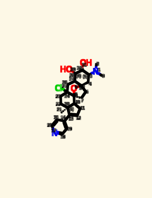 CN(C)[C@H]1C[C@@]23CC[C@]4(O2)C2CC=C(c5ccncc5)[C@@]2(C)CCC4(Cl)CC3[C@@H](O)[C@@H]1O